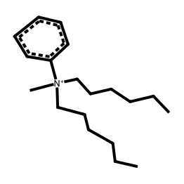 CCCCCC[N+](C)(CCCCCC)c1ccccc1